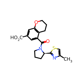 Cc1csc([C@H]2CCCN2C(=O)c2cc(C(=O)O)cc3c2CCCO3)n1